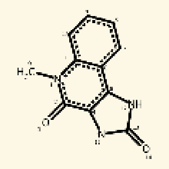 Cn1c(=O)c2c(c3ccccc31)NC(=O)[N]2